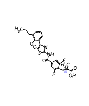 CCCc1cccc2c1OCc1sc(NC(=O)c3cc(F)c(/C=C(\C)C(=O)O)c(F)c3)nc1-2